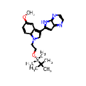 COC1=CC2=C(c3cc4nccnc4[nH]3)CN(CCO[Si](C)(C)C(C)(C)C)C2C=C1